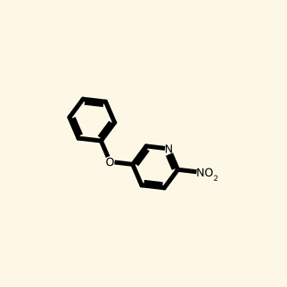 O=[N+]([O-])c1ccc(Oc2ccccc2)cn1